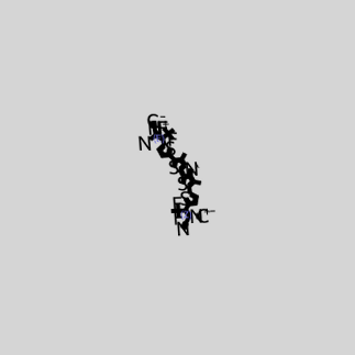 [C-]#[N+]/C(C#N)=C(\c1ccc(-c2sc3c4sc(-c5ccc(/C(=C(\C#N)[N+]#[C-])C(C)(F)F)s5)c(C)c4n(C)c3c2C)s1)C(C)(F)F